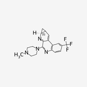 CN1CCN(c2nc3ccc(C(F)(F)F)cc3c3c2=N[C@H]2CC2C=3)CC1